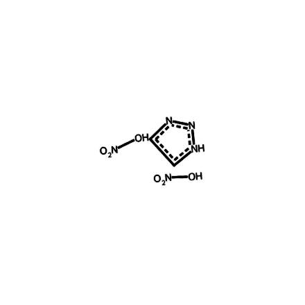 O=[N+]([O-])O.O=[N+]([O-])O.c1c[nH]nn1